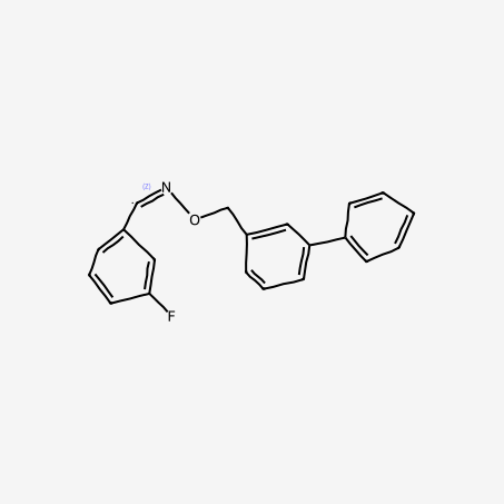 Fc1cccc(/[C]=N\OCc2cccc(-c3ccccc3)c2)c1